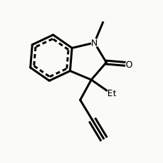 C#CCC1(CC)C(=O)N(C)c2ccccc21